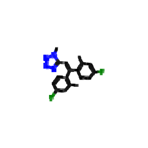 Cc1cc(F)ccc1C(=Cc1nnnn1C)c1ccc(F)cc1C